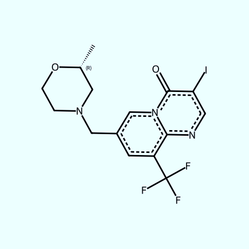 C[C@@H]1CN(Cc2cc(C(F)(F)F)c3ncc(I)c(=O)n3c2)CCO1